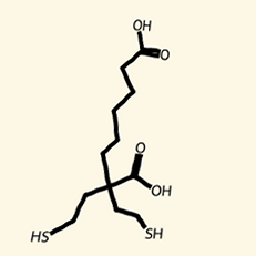 O=C(O)CCCCCC(CCS)(CCS)C(=O)O